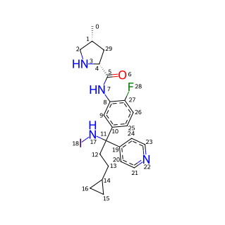 C[C@H]1CN[C@@H](C(=O)Nc2cc(C(CCC3CC3)(NI)c3ccncc3)ccc2F)C1